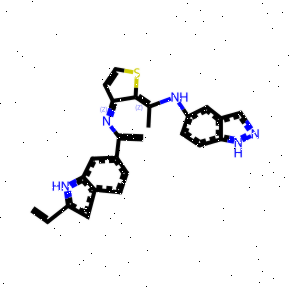 C=Cc1cc2ccc(C(=C)/N=C3/C=CS/C3=C(/C)Nc3ccc4[nH]ncc4c3)cc2[nH]1